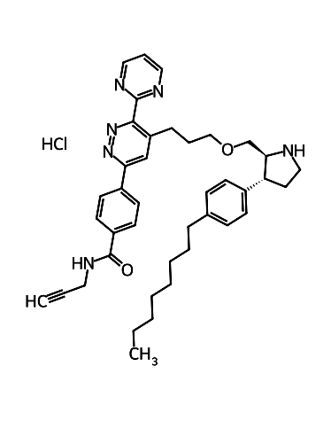 C#CCNC(=O)c1ccc(-c2cc(CCCOC[C@H]3NCC[C@@H]3c3ccc(CCCCCCCC)cc3)c(-c3ncccn3)nn2)cc1.Cl